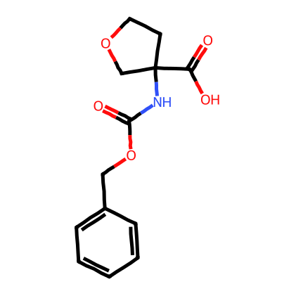 O=C(NC1(C(=O)O)CCOC1)OCc1ccccc1